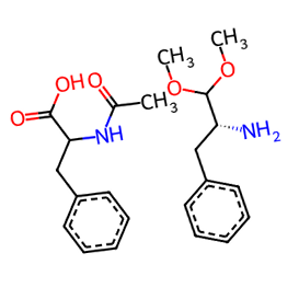 CC(=O)NC(Cc1ccccc1)C(=O)O.COC(OC)[C@H](N)Cc1ccccc1